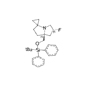 CC(C)(C)[Si](OC[C@@]12CCC3(CC3)N1C[C@H](F)C2)(c1ccccc1)c1ccccc1